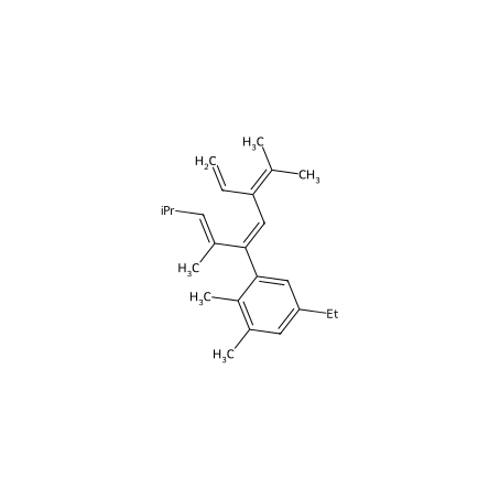 C=CC(/C=C(\C(C)=C\C(C)C)c1cc(CC)cc(C)c1C)=C(C)C